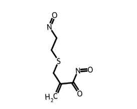 C=C(CSCCN=O)C(=O)N=O